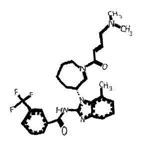 Cc1cccc2nc(NC(=O)c3cccc(C(F)(F)F)c3)n([C@@H]3CCCCN(C(=O)/C=C/CN(C)C)C3)c12